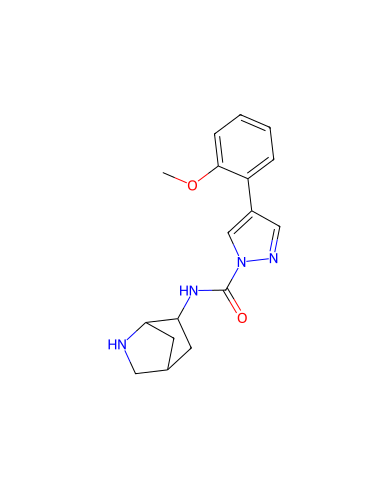 COc1ccccc1-c1cnn(C(=O)NC2CC3CNC2C3)c1